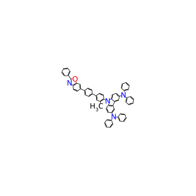 Cc1cc(-c2ccc(-c3ccc4nc(-c5ccccc5)oc4c3)cc2)ccc1-n1c2ccc(N(c3ccccc3)c3ccccc3)cc2c2cc(N(c3ccccc3)c3ccccc3)ccc21